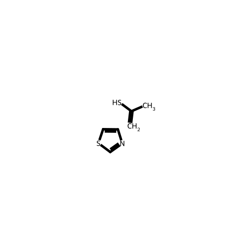 C=C(C)S.c1cscn1